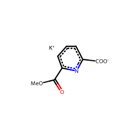 COC(=O)c1cccc(C(=O)[O-])n1.[K+]